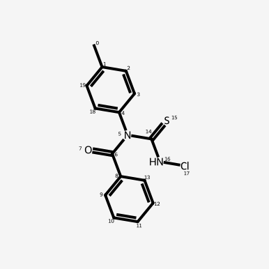 Cc1ccc(N(C(=O)c2ccccc2)C(=S)NCl)cc1